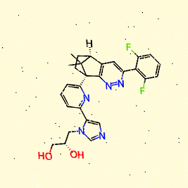 CC1(C)[C@H]2CC[C@]1(c1cccc(-c3cncn3C[C@H](O)CO)n1)c1nnc(-c3c(F)cccc3F)cc12